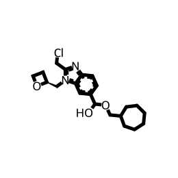 OC(OCC1CCCCCC1)c1ccc2nc(CCl)n(C[C@@H]3CCO3)c2c1